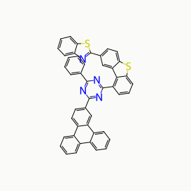 c1ccc(-c2nc(-c3ccc4c5ccccc5c5ccccc5c4c3)nc(-c3cccc4sc5ccc(-c6nc7ccccc7s6)cc5c34)n2)cc1